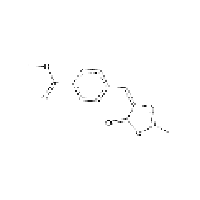 COC(=O)c1ccc(C=C2N=C(C)OC2=O)cc1